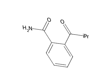 CC(C)C(=O)c1ccccc1C(N)=O